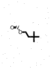 CC(C)(C)CC[O][V]=[O]